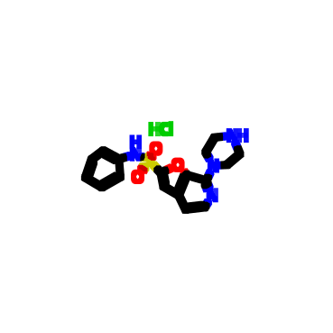 Cl.O=S(=O)(Nc1ccccc1)c1cc2ccnc(N3CCNCC3)c2o1